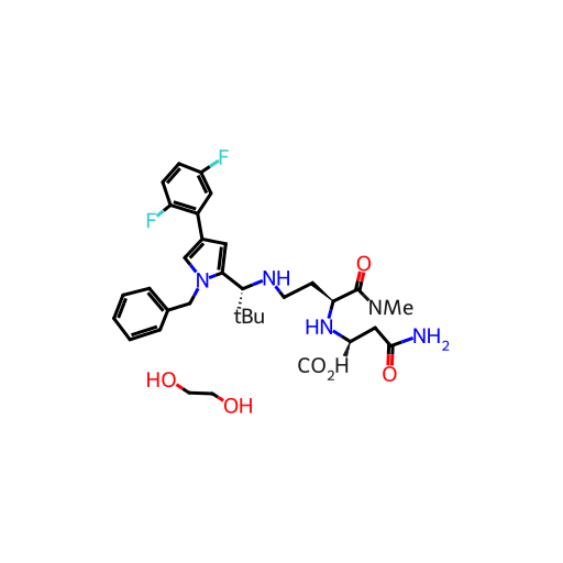 CNC(=O)[C@H](CCN[C@@H](c1cc(-c2cc(F)ccc2F)cn1Cc1ccccc1)C(C)(C)C)N[C@@H](CC(N)=O)C(=O)O.OCCO